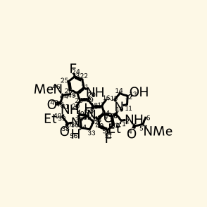 CC[C@H](NC(=O)[C@H](C)NC)C(=O)N1C[C@@H](O)C[C@H]1Cc1c(-c2[nH]c3cc(F)ccc3c2C[C@@H]2[C@H]3CC[C@H](C3)N2C(=O)[C@H](CC)NC(=O)[C@H](C)NC)[nH]c2cc(F)ccc12